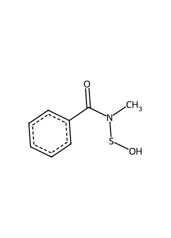 CN(SO)C(=O)c1ccccc1